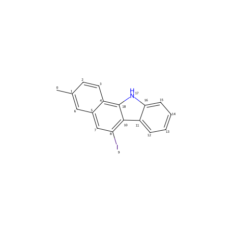 Cc1ccc2c(c1)cc(I)c1c3ccccc3[nH]c21